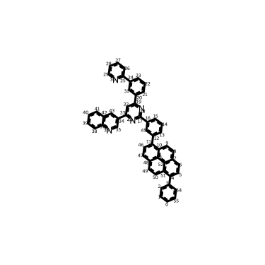 c1ccc(-c2ccc3ccc4c(-c5cccc(-c6nc(-c7cccc(-c8ccccn8)c7)cc(-c7cnc8ccccc8c7)n6)c5)ccc5ccc2c3c54)cc1